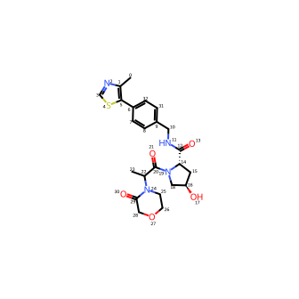 Cc1ncsc1-c1ccc(CNC(=O)[C@@H]2C[C@@H](O)CN2C(=O)C(C)N2CCOCC2=O)cc1